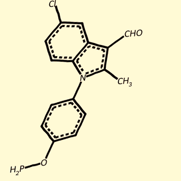 Cc1c(C=O)c2cc(Cl)ccc2n1-c1ccc(OP)cc1